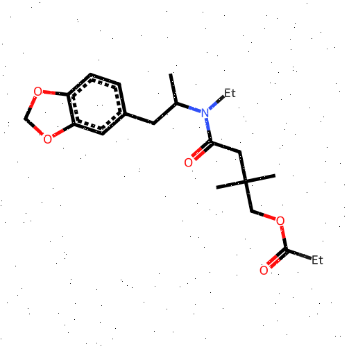 CCC(=O)OCC(C)(C)CC(=O)N(CC)C(C)Cc1ccc2c(c1)OCO2